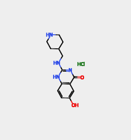 Cl.O=c1nc(NCC2CCNCC2)[nH]c2ccc(O)cc12